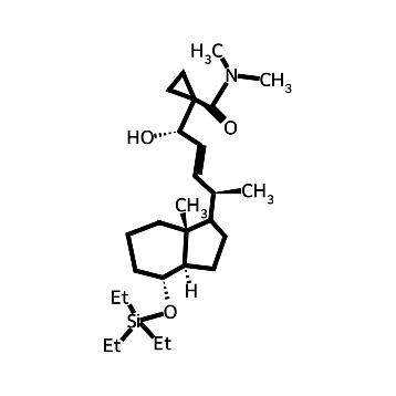 CC[Si](CC)(CC)O[C@@H]1CCC[C@]2(C)C([C@H](C)/C=C/[C@H](O)C3(C(=O)N(C)C)CC3)CC[C@@H]12